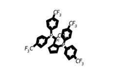 C[C@H](C1=C(P(c2ccc(C(F)(F)F)cc2)c2ccc(C(F)(F)F)cc2)C=CC1)P(c1ccc(C(F)(F)F)cc1)c1ccc(C(F)(F)F)cc1